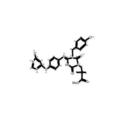 COC(=O)C(C)(C)Cn1c(=O)[nH]/c(=N\c2ccc(Oc3cc(Cl)ncn3)cc2)n(Cc2ccc(Cl)cc2)c1=O